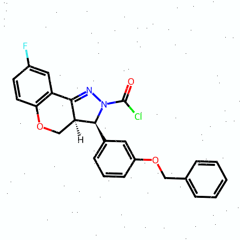 O=C(Cl)N1N=C2c3cc(F)ccc3OC[C@@H]2[C@@H]1c1cccc(OCc2ccccc2)c1